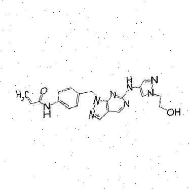 C=CC(=O)Nc1ccc(Cn2ncc3cnc(Nc4cnn(CCO)c4)nc32)cc1